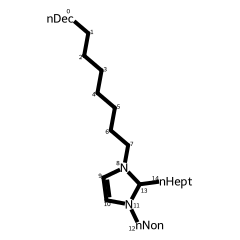 CCCCCCCCCCCCCCCCCN1C=CN(CCCCCCCCC)C1CCCCCCC